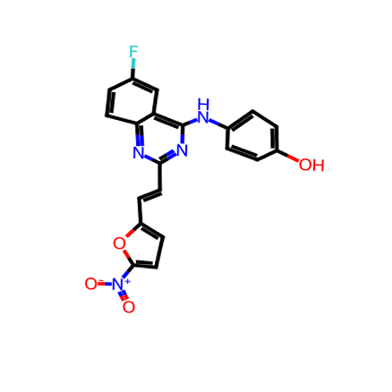 O=[N+]([O-])c1ccc(C=Cc2nc(Nc3ccc(O)cc3)c3cc(F)ccc3n2)o1